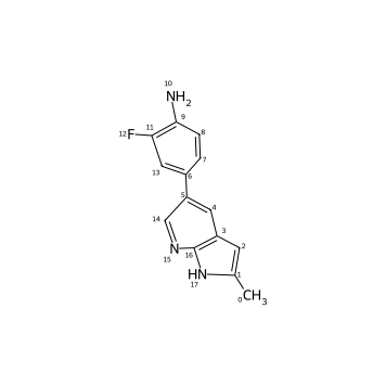 Cc1cc2cc(-c3ccc(N)c(F)c3)cnc2[nH]1